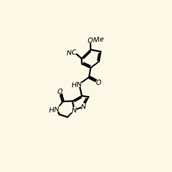 COc1ccc(C(=O)Nc2cnn3c2C(=O)NCC3)cc1C#N